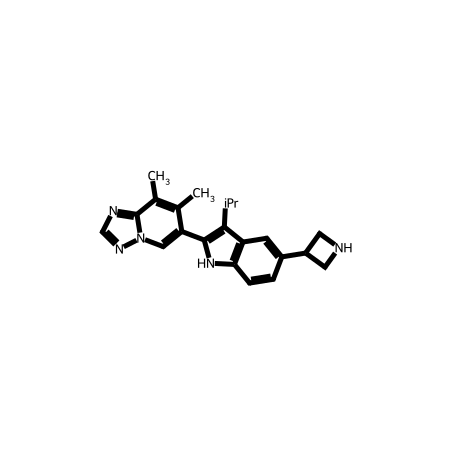 Cc1c(-c2[nH]c3ccc(C4CNC4)cc3c2C(C)C)cn2ncnc2c1C